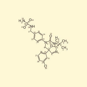 CC(C)(C)C1N=CC(CN(C(N)=O)c2ccc(CNS(N)(=O)=O)cc2)(c2cccc(Cl)c2)O1